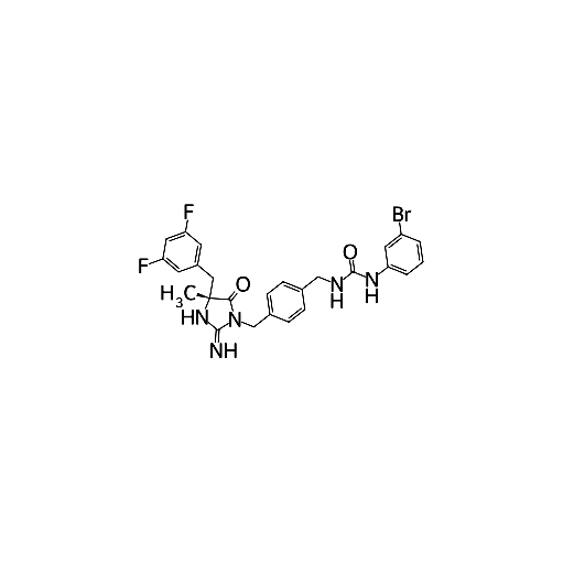 C[C@]1(Cc2cc(F)cc(F)c2)NC(=N)N(Cc2ccc(CNC(=O)Nc3cccc(Br)c3)cc2)C1=O